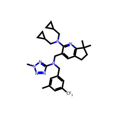 Cc1cc(CN(Cc2cc3c(nc2N(CC2CC2)CC2CC2)C(C)(C)CC3)c2nnn(C)n2)cc(C(F)(F)F)c1